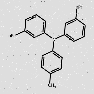 CCCc1cccc(N(c2ccc(C)cc2)c2cccc(CCC)c2)c1